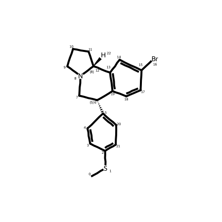 CSc1ccc([C@@H]2CN3CCC[C@@H]3c3cc(Br)ccc32)cc1